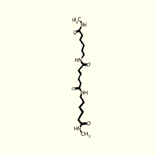 CNC(=O)CCCCCNC(=O)CCCCC(=O)NCCCCCC(=O)NC